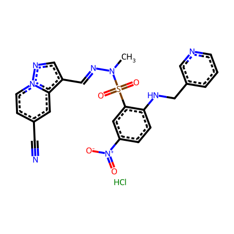 CN(N=Cc1cnn2ccc(C#N)cc12)S(=O)(=O)c1cc([N+](=O)[O-])ccc1NCc1cccnc1.Cl